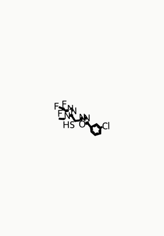 CCn1c(C(S)c2nnc(-c3cccc(Cl)c3)o2)nnc1C(F)(F)F